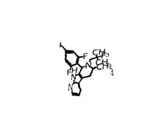 CC1Cc2c([nH]c3ncccc23)C(c2c(F)cc(I)cc2F)N1CC(C)(C)F